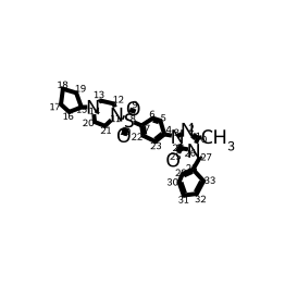 Cc1nn(-c2ccc(S(=O)(=O)N3CCN(C4CCCC4)CC3)cc2)c(=O)n1Cc1ccccc1